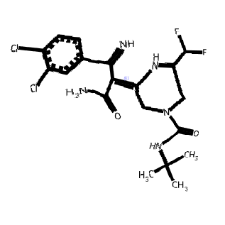 CC(C)(C)NC(=O)N1C/C(=C(/C(=N)c2ccc(Cl)c(Cl)c2)C(N)=O)NC(C(F)F)C1